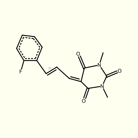 CN1C(=O)C(=C/C=C/c2ccccc2F)C(=O)N(C)C1=O